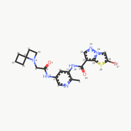 Cc1ncc(NC(=O)CN2CCC23CCC3)cc1NC(=O)c1cnn2cc(Br)sc12